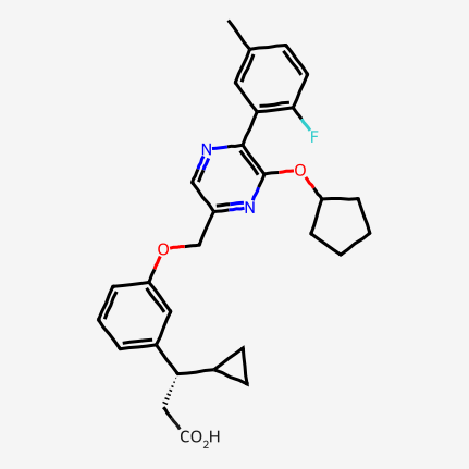 Cc1ccc(F)c(-c2ncc(COc3cccc([C@@H](CC(=O)O)C4CC4)c3)nc2OC2CCCC2)c1